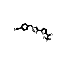 N#Cc1ccc(Cn2cc(-c3ccc(C(=O)C(F)(F)F)s3)nn2)cc1